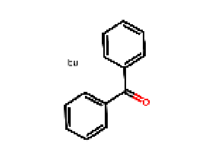 O=C(c1ccccc1)c1ccccc1.[Eu]